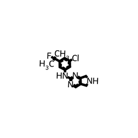 CC(C)(F)c1cc(Cl)cc(Nc2ncc3c(n2)CNC3)c1